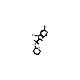 CC(C)n1c(C(C)(C)OC2CCCCO2)nc2cnc(Br)cc21